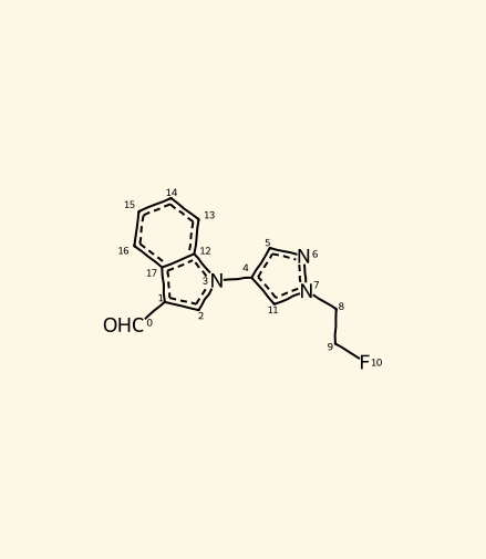 O=Cc1cn(-c2cnn(CCF)c2)c2ccccc12